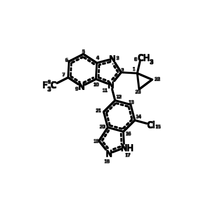 CC1(c2nc3ccc(C(F)(F)F)nc3n2-c2cc(Cl)c3[nH]ncc3c2)CC1